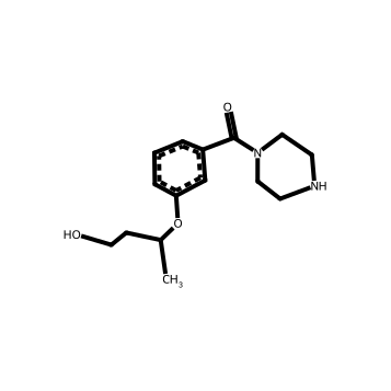 CC(CCO)Oc1cccc(C(=O)N2CCNCC2)c1